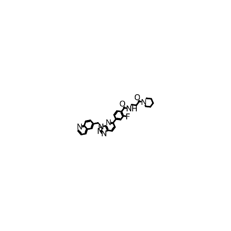 O=C(NCCC(=O)N1CCCCC1)c1ccc(-c2ccc3nnn(Cc4ccc5ncccc5c4)c3n2)cc1F